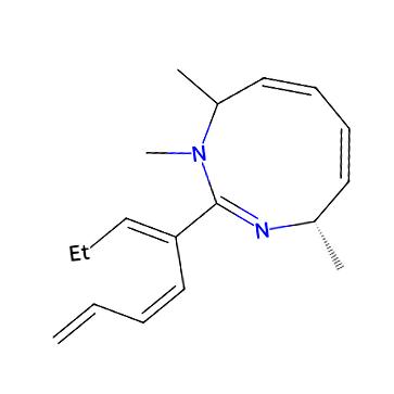 C=C\C=C/C(=C\CC)C1=N/[C@@H](C)/C=C\C=C/C(C)N\1C